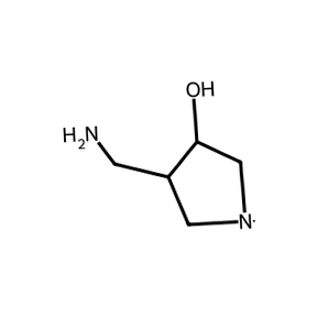 NCC1C[N]CC1O